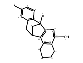 Cc1ccc2c(n1)CC1CC2(O)c2cc(O)c3c(c21)CCCC3